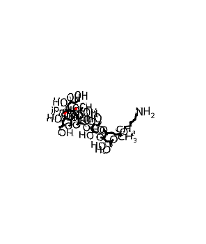 CC(C)OC1C(O)[C@H](O)C(CO)O[C@@H]1OC1C(O)[C@H](O)C(CO)O[C@@H]1OC1C(O)[C@@](O)(C(C)O)O[C@@H]1OC1C(O)[C@@H](OC2C(O)CC(C(C)(C)OCCCCCN)OC(CO)[C@@H]2O)OC(CO)[C@H]1O